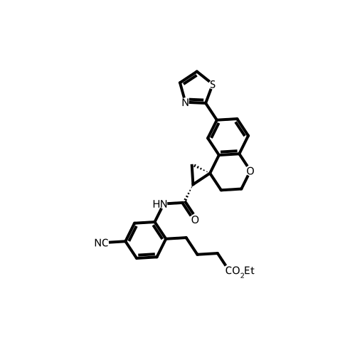 CCOC(=O)CCCc1ccc(C#N)cc1NC(=O)[C@@H]1C[C@]12CCOc1ccc(-c3nccs3)cc12